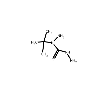 CC(C)(C)N(N)C(=O)NN